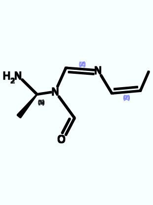 C/C=C\N=C/N(C=O)[C@@H](C)N